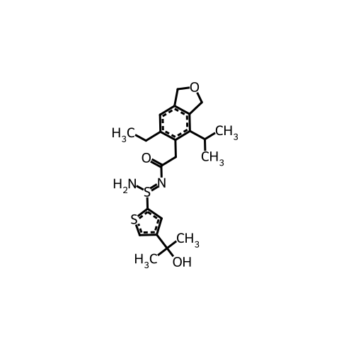 CCc1cc2c(c(C(C)C)c1CC(=O)/N=S(\N)c1cc(C(C)(C)O)cs1)COC2